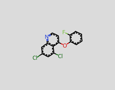 Fc1ccccc1Oc1ccnc2cc(Cl)cc(Cl)c12